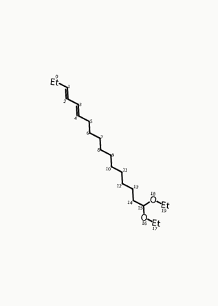 CCC=CC=CCCCCCCCCCCC(OCC)OCC